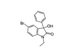 CCN1C(=O)C(O)(c2ccccc2)c2cc(Br)ccc21